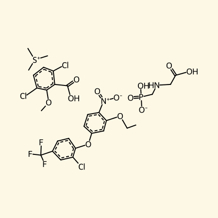 CCOc1cc(Oc2ccc(C(F)(F)F)cc2Cl)ccc1[N+](=O)[O-].COc1c(Cl)ccc(Cl)c1C(=O)O.C[S+](C)C.O=C(O)CNCP(=O)([O-])O